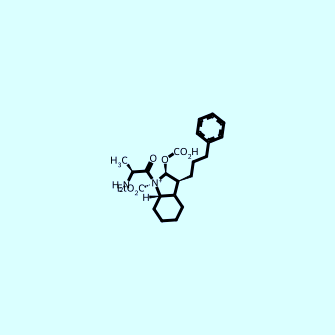 CCOC(=O)[N@@+]1(C(=O)[C@H](C)N)[C@H]2CCCCC2[C@H](CCCc2ccccc2)[C@@H]1OC(=O)O